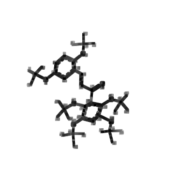 CC(C)(C)Oc1ccc(OC(C)(C)C)c(C=CC(=O)c2c(OC(C)(C)C)c(OC(C)(C)C)cc(OC(C)(C)C)c2OC(C)(C)C)c1